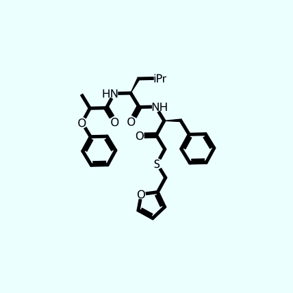 CC(C)C[C@H](NC(=O)C(C)Oc1ccccc1)C(=O)N[C@@H](Cc1ccccc1)C(=O)CSCc1ccco1